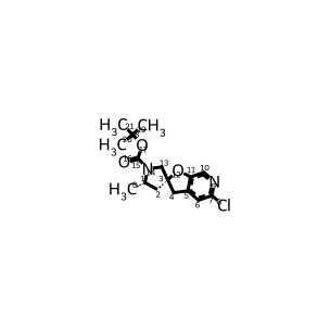 C[C@H]1C[C@]2(Cc3cc(Cl)ncc3O2)CN1C(=O)OC(C)(C)C